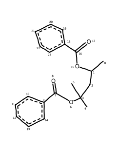 CC(CC(C)(C)OC(=O)c1ccccc1)OC(=O)c1ccccc1